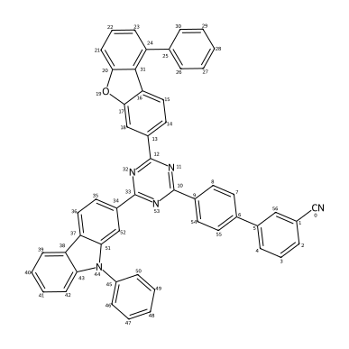 N#Cc1cccc(-c2ccc(-c3nc(-c4ccc5c(c4)oc4cccc(-c6ccccc6)c45)nc(-c4ccc5c6ccccc6n(-c6ccccc6)c5c4)n3)cc2)c1